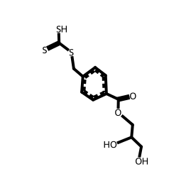 O=C(OCC(O)CO)c1ccc(CSC(=S)S)cc1